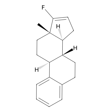 C[C@]12CC[C@@H]3c4ccccc4CC[C@H]3[C@@H]1CC=C2F